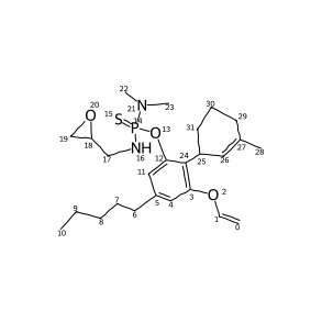 C=COc1cc(CCCCC)cc(OP(=S)(NCC2CO2)N(C)C)c1C1C=C(C)CCC1